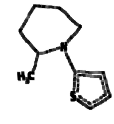 CC1CCCCN1c1cccs1